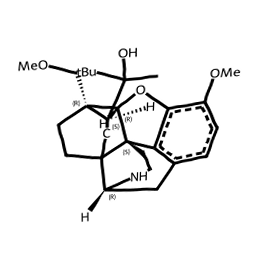 COC[C@@]12CCC3(C[C@@H]1C(C)(O)C(C)(C)C)[C@H]1Cc4ccc(OC)c5c4[C@@]3(CCN1)[C@H]2O5